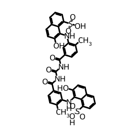 Cc1ccc(C(=O)NC(=O)NC(=O)c2ccc(C)c(Nc3c(O)ccc4cccc(S(=O)(=O)O)c34)c2)cc1Nc1c(O)ccc2cccc(S(=O)(=O)O)c12